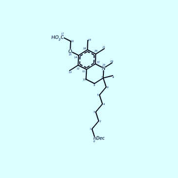 CCCCCCCCCCCCCCCCC1(C)CCc2c(C)c(OCC(=O)O)c(C)c(C)c2N1C